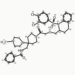 CN1CCN(C2(CNC(=O)c3ccccc3)CCN(C(=O)COCC3CCc4ccccc4N3S(=O)(=O)c3ccc(Cl)c(Cl)c3)CC2)CC1